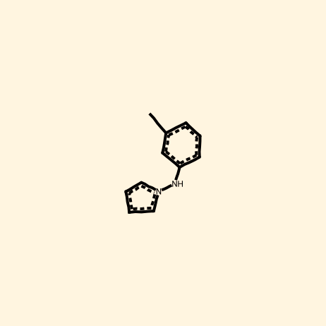 Cc1cccc(Nn2cccc2)c1